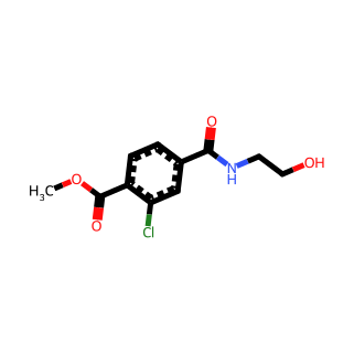 COC(=O)c1ccc(C(=O)NCCO)cc1Cl